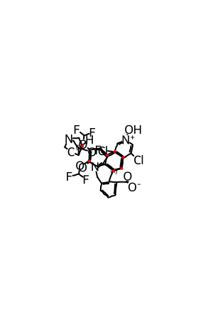 O=C([O-])c1cccc(CN(C(=O)O[C@H]2CN3CCC2CC3)c2ccccc2F)c1[C@H](Cc1c(Cl)c[n+](O)cc1Cl)c1ccc(OC(F)F)c(OC(F)F)c1